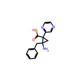 NC1(Cc2ccccc2)CC1(C(=O)O)c1cnccn1